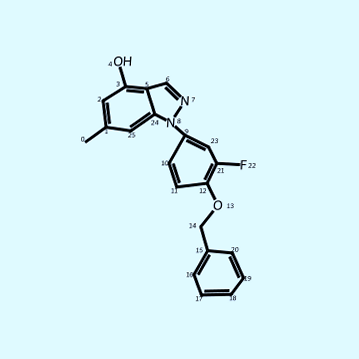 Cc1cc(O)c2cnn(-c3ccc(OCc4ccccc4)c(F)c3)c2c1